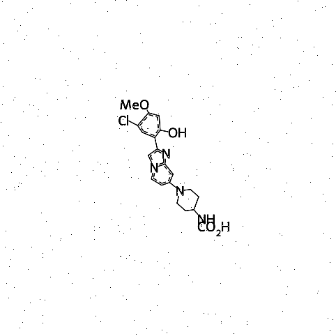 COc1cc(O)c(-c2cn3ccc(N4CCC(NC(=O)O)CC4)cc3n2)cc1Cl